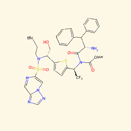 COC(=O)N(C(=O)[C@@H](N)C(c1ccccc1)c1ccccc1)[C@H](c1ccc([C@@H](CO)N(CCC(C)(C)C)S(=O)(=O)c2cn3ncnc3cn2)s1)C(F)(F)F